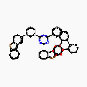 c1ccc(-c2nc(-c3cccc(-c4ccc5sc6ccccc6c5c4)c3)nc(-c3cccc4sc5ccc(-c6ccccc6-c6ccccc6-c6ccccc6)cc5c34)n2)cc1